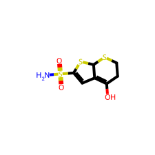 NS(=O)(=O)C1=CC2=C(O)CCSC2S1